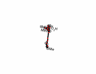 COc1ccc(COC(=O)CCCCCCCCCCCCCCC(=O)N(CCC(=O)O)C(OC)c2cc(C(=O)OC(C)(C)C)cc(C(=O)OC(C)(C)C)c2)cc1